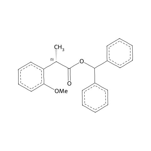 COc1ccccc1[C@H](C)C(=O)OC(c1ccccc1)c1ccccc1